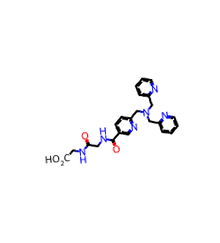 O=C(O)CNC(=O)CNC(=O)c1ccc(CN(Cc2ccccn2)Cc2ccccn2)nc1